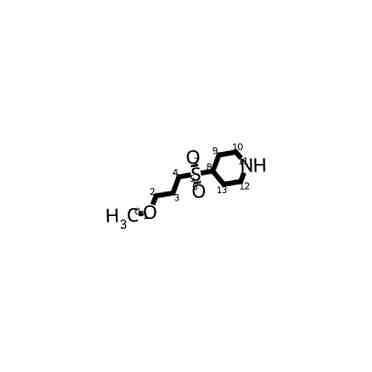 COCCCS(=O)(=O)C1CCNCC1